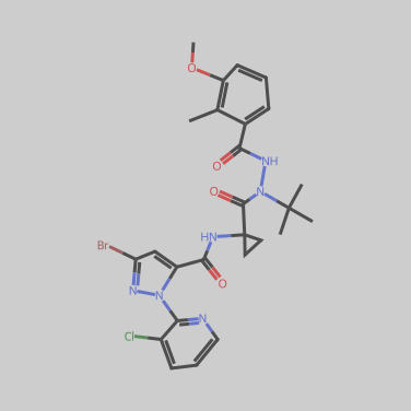 COc1cccc(C(=O)NN(C(=O)C2(NC(=O)c3cc(Br)nn3-c3ncccc3Cl)CC2)C(C)(C)C)c1C